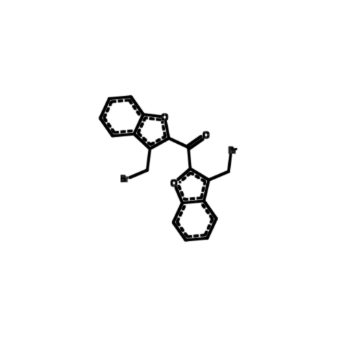 O=C(c1oc2ccccc2c1CBr)c1oc2ccccc2c1CBr